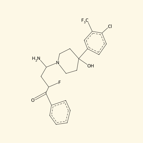 NC(CC(F)C(=O)c1ccccc1)N1CCC(O)(c2ccc(Cl)c(C(F)(F)F)c2)CC1